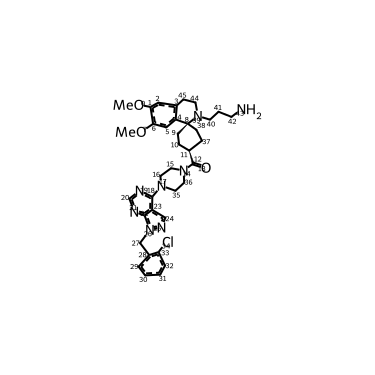 COc1cc2c(cc1OC)[C@]1(CC[C@H](C(=O)N3CCN(c4ncnc5c4cnn5Cc4ccccc4Cl)CC3)CC1)N(CCCN)CC2